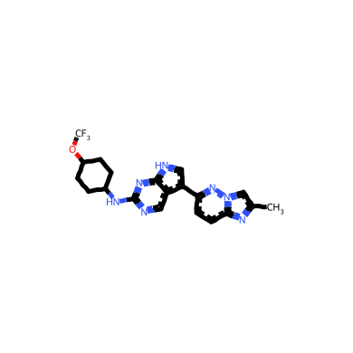 Cc1cn2nc(-c3c[nH]c4nc(NC5CCC(OC(F)(F)F)CC5)ncc34)ccc2n1